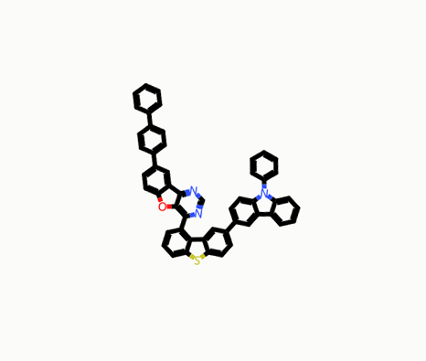 c1ccc(-c2ccc(-c3ccc4oc5c(-c6cccc7sc8ccc(-c9ccc%10c(c9)c9ccccc9n%10-c9ccccc9)cc8c67)ncnc5c4c3)cc2)cc1